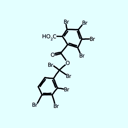 O=C(O)c1c(Br)c(Br)c(Br)c(Br)c1C(=O)OC(Br)(Br)c1ccc(Br)c(Br)c1Br